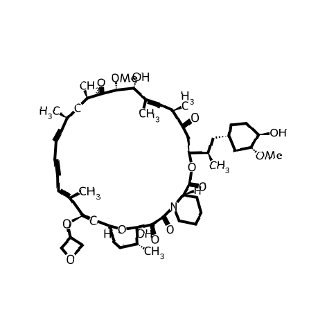 CO[C@@H]1C[C@H](C[C@@H](C)[C@@H]2CC(=O)[C@H](C)/C=C(\C)[C@@H](O)[C@@H](OC)C(=O)[C@H](C)C[C@H](C)/C=C/C=C/C=C(\C)[C@H](OC3COC3)C[C@@H]3CC[C@@H](C)[C@@](O)(O3)C(=O)C(=O)N3CCCC[C@H]3C(=O)O2)CC[C@H]1O